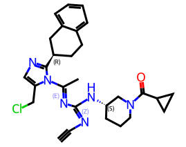 C#C/N=C(\N=C(/C)n1c(CCl)cnc1[C@@H]1CCc2ccccc2C1)N[C@H]1CCCN(C(=O)C2CC2)C1